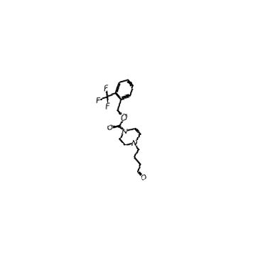 O=CCCCN1CCN(C(=O)OCc2ccccc2C(F)(F)F)CC1